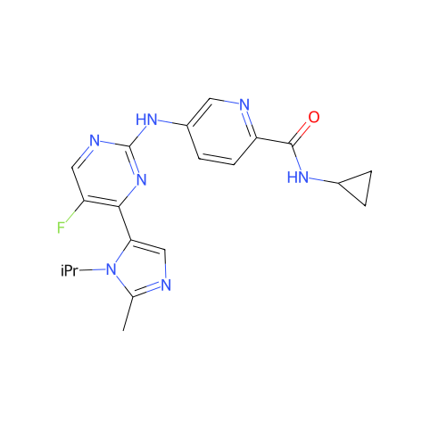 Cc1ncc(-c2nc(Nc3ccc(C(=O)NC4CC4)nc3)ncc2F)n1C(C)C